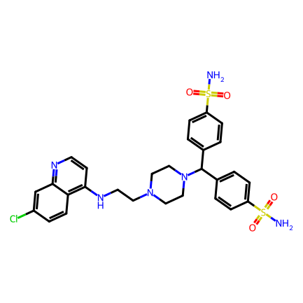 NS(=O)(=O)c1ccc(C(c2ccc(S(N)(=O)=O)cc2)N2CCN(CCNc3ccnc4cc(Cl)ccc34)CC2)cc1